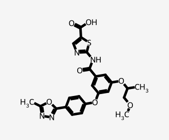 COCC(C)Oc1cc(Oc2ccc(-c3nnc(C)o3)cc2)cc(C(=O)Nc2ncc(C(=O)O)s2)c1